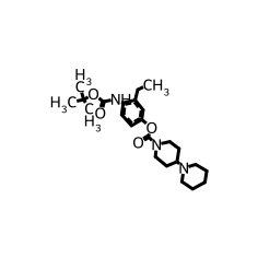 CCc1cc(OC(=O)N2CCC(N3CCCCC3)CC2)ccc1NC(=O)OC(C)(C)C